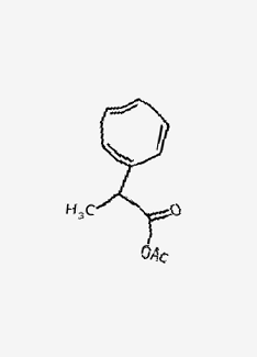 CC(=O)OC(=O)C(C)c1ccccc1